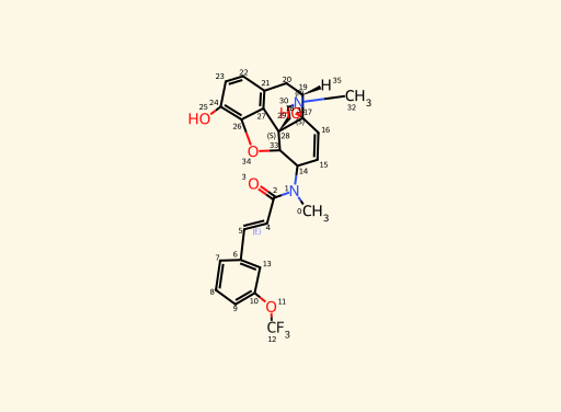 CN(C(=O)/C=C/c1cccc(OC(F)(F)F)c1)C1C=C[C@@]2(O)[C@H]3Cc4ccc(O)c5c4[C@@]2(CCN3C)C1O5